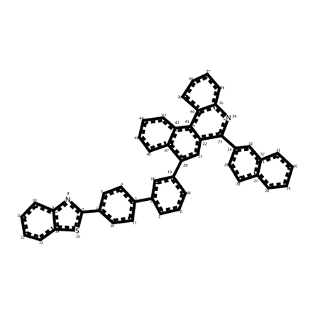 c1cc(-c2ccc(-c3nc4ccccc4s3)cc2)cc(-c2cc3c(-c4ccc5ccccc5c4)nc4ccccc4c3c3ccccc23)c1